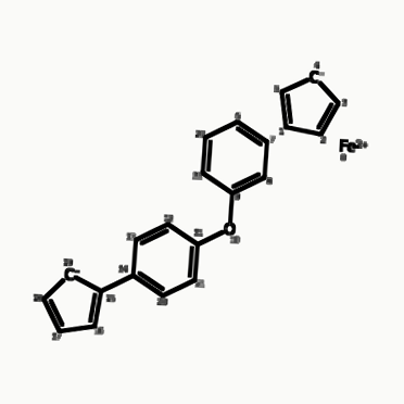 [Fe+2].c1cc[cH-]c1.c1ccc(Oc2ccc(-c3ccc[cH-]3)cc2)cc1